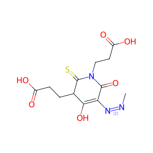 C/N=N\C1=C(O)C(CCC(=O)O)C(=S)N(CCC(=O)O)C1=O